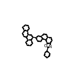 c1ccc(-c2nc3ccc4ccc5cc(-c6cc7c8ccccc8ccc7c7ccccc67)ccc5c4c3o2)cc1